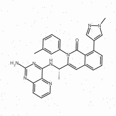 Cc1cccc(-n2c([C@H](C)Nc3nc(N)nc4cccnc34)cc3cccc(-c4cnn(C)c4)c3c2=O)c1